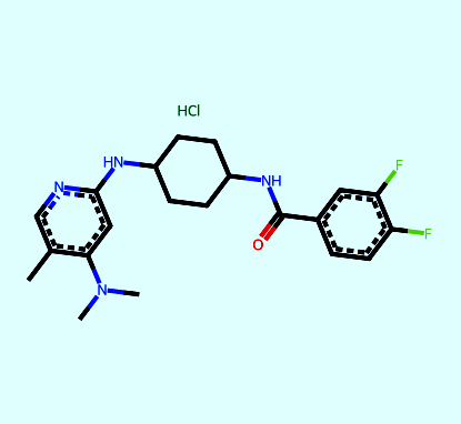 Cc1cnc(NC2CCC(NC(=O)c3ccc(F)c(F)c3)CC2)cc1N(C)C.Cl